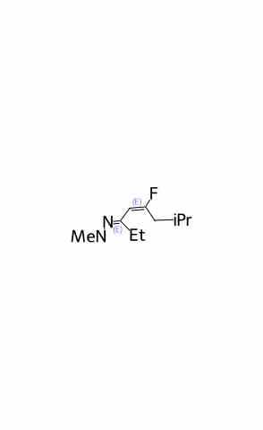 CCC(/C=C(/F)CC(C)C)=N\NC